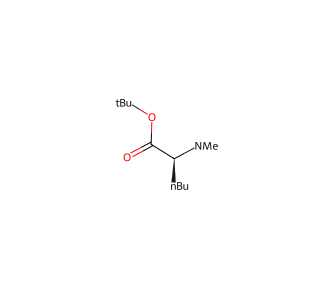 CCCC[C@H](NC)C(=O)OC(C)(C)C